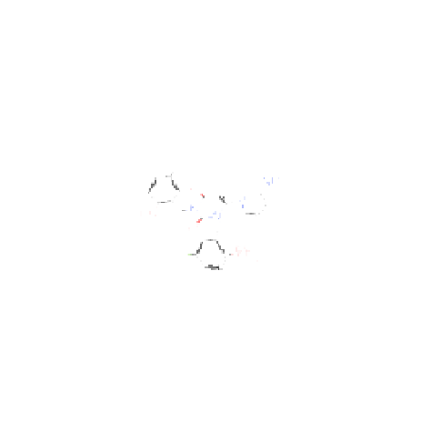 Bc1ccc(F)cc1Cn1c(N2CCC[C@@H](N)C2)cc(=O)n(Cc2cc(F)ccc2B)c1=O